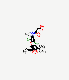 CCc1cc(Oc2c(Br)cc(NC(=O)CC(=O)O)c(C)c2Br)cc(C(C)C)c1O